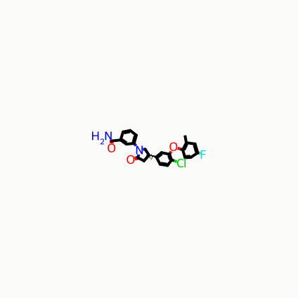 Cc1cc(F)ccc1Oc1cc([C@H]2CC(=O)N(c3cccc(C(N)=O)c3)C2)ccc1Cl